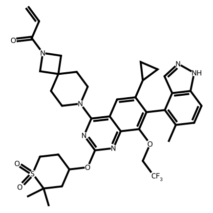 C=CC(=O)N1CC2(CCN(c3nc(OC4CCS(=O)(=O)C(C)(C)C4)nc4c(OCC(F)(F)F)c(-c5c(C)ccc6[nH]ncc56)c(C5CC5)cc34)CC2)C1